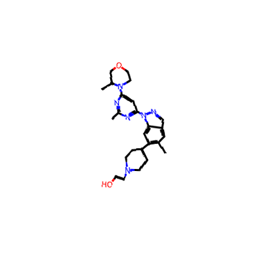 Cc1nc(N2CCOCC2C)cc(-n2ncc3cc(C)c(C4CCN(CCO)CC4)cc32)n1